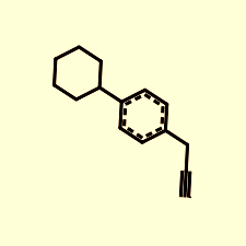 [C]#CCc1ccc(C2CCCCC2)cc1